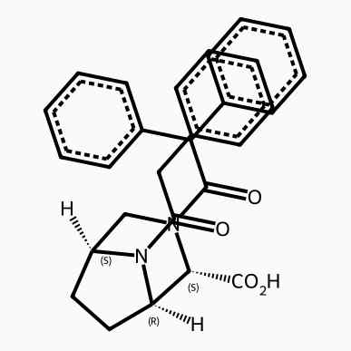 O=C(O)[C@@H]1[C@H]2CC[C@@H](CN1C(=O)C(c1ccccc1)c1ccccc1)N2C(=O)Cc1ccccc1